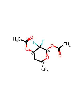 CC(=O)O[C@H]1O[C@@H](C)C[C@@H](OC(C)=O)C1(F)F